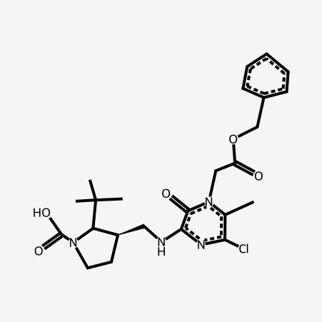 Cc1c(Cl)nc(NC[C@H]2CCN(C(=O)O)C2C(C)(C)C)c(=O)n1CC(=O)OCc1ccccc1